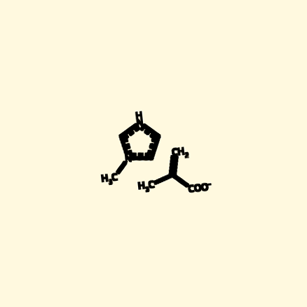 C=C(C)C(=O)[O-].C[n+]1cc[nH]c1